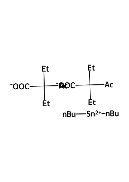 CCC(CC)(C(C)=O)C(=O)[O-].CCC(CC)(C(C)=O)C(=O)[O-].CCC[CH2][Sn+2][CH2]CCC